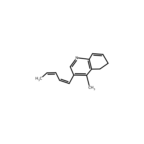 C/C=C\C=C/c1cnc2c(c1C)CCC=C2